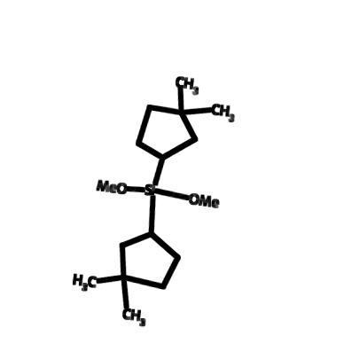 CO[Si](OC)(C1CCC(C)(C)C1)C1CCC(C)(C)C1